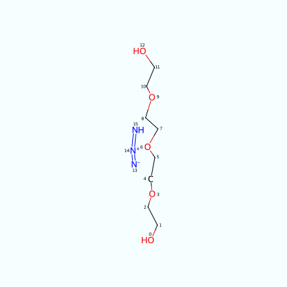 OCCOCCOCCOCCO.[N-]=[N+]=N